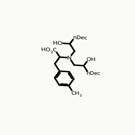 CCCCCCCCCCC(O)CN(CC(O)CCCCCCCCCC)C(Cc1ccc(C)cc1)C(=O)O